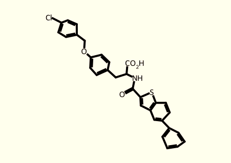 O=C(NC(Cc1ccc(OCc2ccc(Cl)cc2)cc1)C(=O)O)c1cc2cc(-c3ccccc3)ccc2s1